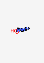 CC(C)(C)N1CCC(N2CCCN(c3cccc(C(=O)O)n3)CC2)CC1